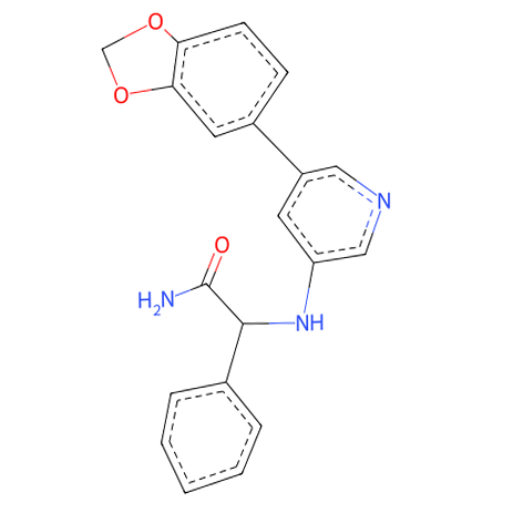 NC(=O)C(Nc1cncc(-c2ccc3c(c2)OCO3)c1)c1ccccc1